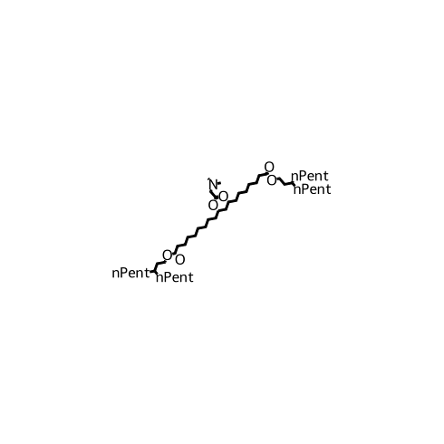 CCCCCC(CCCCC)CCOC(=O)CCCCCCCCC(CCCCCCCCC(=O)OCCC(CCCCC)CCCCC)OC(=O)CN(C)C